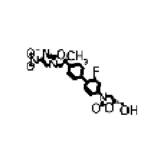 CC1(c2ccc(-c3ccc(N4C[C@H](CO)OC4=O)cc3F)cc2)Cn2cc([N+](=O)[O-])nc2O1